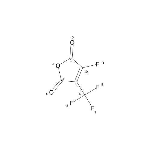 O=C1OC(=O)C(C(F)(F)F)=C1F